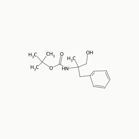 CC(CO)(Cc1ccccc1)NC(=O)OC(C)(C)C